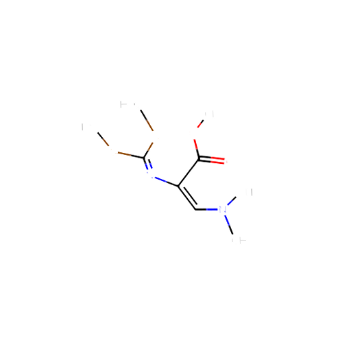 COC(=O)/C(=C\N(C)C)N=C(SC)SC